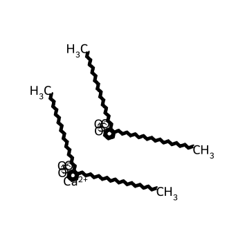 CCCCCCCCCCCCCCCCCCCCc1cccc(S(=O)(=O)[O-])c1CCCCCCCCCCCCCCCCCCCC.CCCCCCCCCCCCCCCCCCCCc1cccc(S(=O)(=O)[O-])c1CCCCCCCCCCCCCCCCCCCC.[Ca+2]